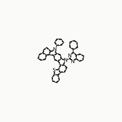 c1ccc(-c2nc(-n3c4cc5c(cc4c4c6sc7ccccc7c6ccc43)c3c4ccccc4ccc3n5-c3ccccc3)nc3ccccc23)cc1